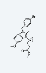 COC(=O)CCC1(c2c(C)n(Cc3ccc(Br)cc3)c3ccc(OC)cc23)CC1